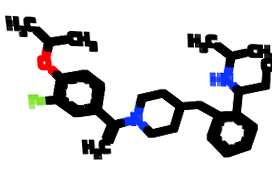 C=C(c1ccc(OC(C)C)c(F)c1)N1CCC(Cc2ccccc2C(CC)NC(C)C)CC1